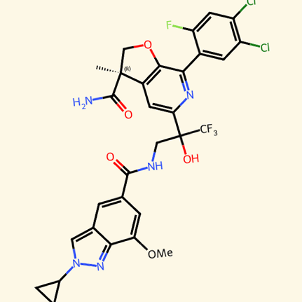 COc1cc(C(=O)NCC(O)(c2cc3c(c(-c4cc(Cl)c(Cl)cc4F)n2)OC[C@]3(C)C(N)=O)C(F)(F)F)cc2cn(C3CC3)nc12